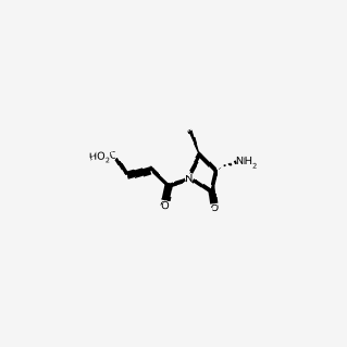 C[C@H]1[C@H](N)C(=O)N1C(=O)C=CC(=O)O